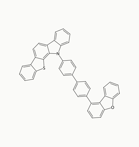 c1ccc2c(c1)oc1cccc(-c3ccc(-c4ccc(-n5c6ccccc6c6ccc7c8ccccc8sc7c65)cc4)cc3)c12